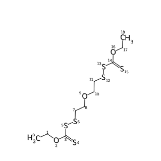 CCOC(=S)SSCCOCCSSC(=S)OCC